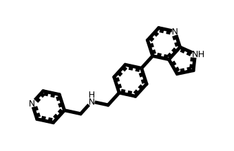 c1cc(CNCc2ccc(-c3ccnc4[nH]ccc34)cc2)ccn1